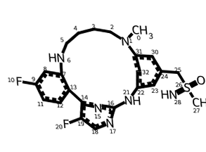 CN1CCCCNc2cc(F)ccc2-c2nc(ncc2F)Nc2cc(CS(C)(=N)=O)cc1c2